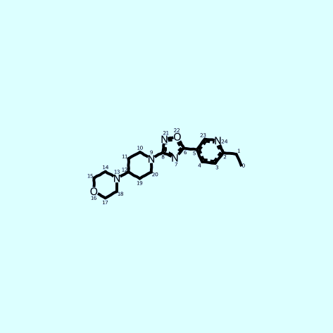 CCc1ccc(-c2nc(N3CCC(N4CCOCC4)CC3)no2)cn1